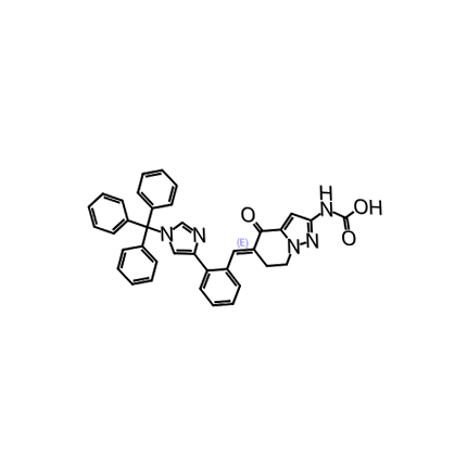 O=C(O)Nc1cc2n(n1)CC/C(=C\c1ccccc1-c1cn(C(c3ccccc3)(c3ccccc3)c3ccccc3)cn1)C2=O